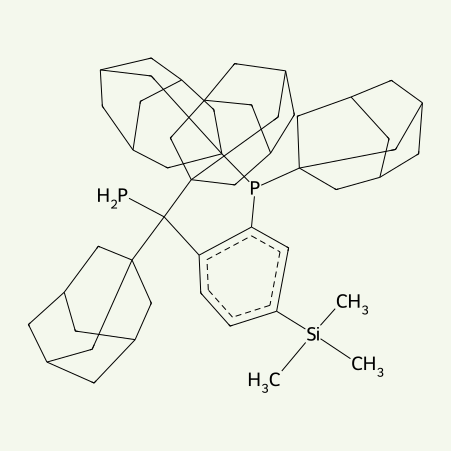 C[Si](C)(C)c1ccc(C(P)(C23CC4CC(CC(C4)C2)C3)C23CC4CC(CC(C4)C2)C3)c(P(C23CC4CC(CC(C4)C2)C3)C23CC4CC(CC(C4)C2)C3)c1